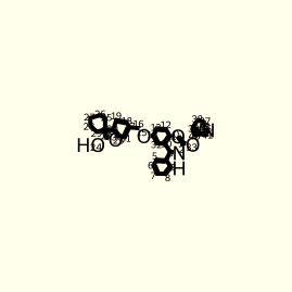 O=C(NC(c1ccccc1)c1cccc(OCc2ccc(C3(C(=O)O)CCCCC3)cc2)c1)OC1CN2CCC1CC2